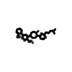 C[C@@H]1CCN(c2cc(-c3ccccc3O)nnc2N)CCN1c1ccnc(/C=C/CN(C)C)n1